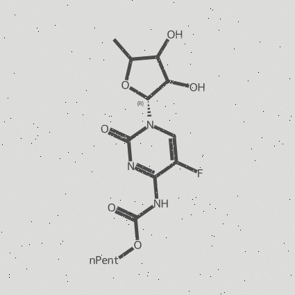 CCCCCOC(=O)Nc1nc(=O)n([C@@H]2OC(C)C(O)C2O)cc1F